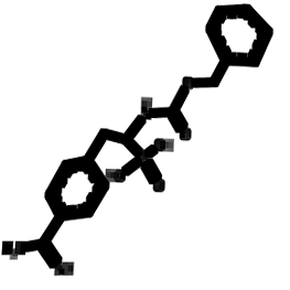 N=C(N)c1ccc(CC(NC(=O)OCc2ccccc2)P(=O)(O)O)cc1